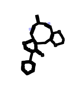 C=C1/C=C\C2=C(Cc3c(occ(-c4ccccc4)c3=O)/C=C\1)OCCO2